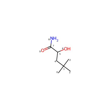 CC(C)(C)CC(O)C(N)=O